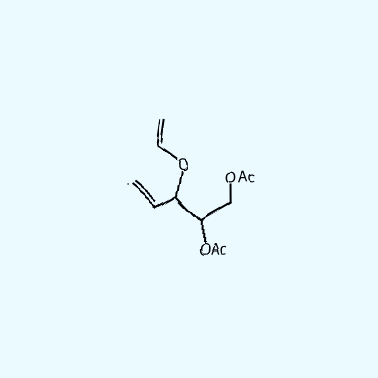 [CH]=CC(OC=C)C(COC(C)=O)OC(C)=O